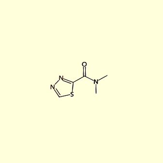 CN(C)C(=O)c1nncs1